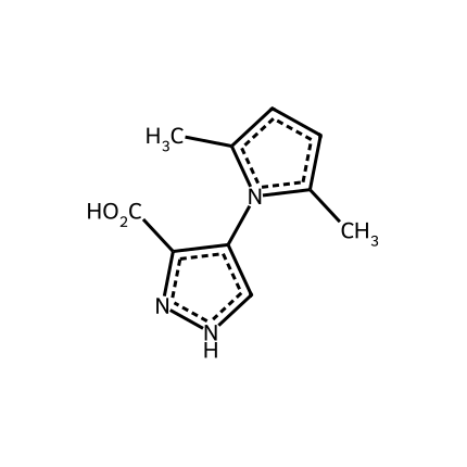 Cc1ccc(C)n1-c1c[nH]nc1C(=O)O